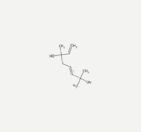 C=CC(C)(O)C/C=C/C(C)(C)O